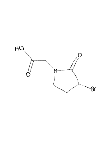 O=C(O)CN1CCC(Br)C1=O